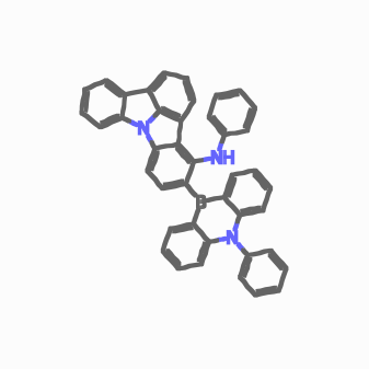 c1ccc(Nc2c(B3c4ccccc4N(c4ccccc4)c4ccccc43)ccc3c2c2cccc4c5ccccc5n3c42)cc1